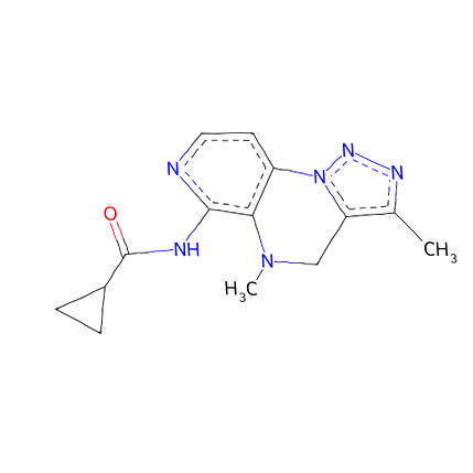 Cc1nnn2c1CN(C)c1c-2ccnc1NC(=O)C1CC1